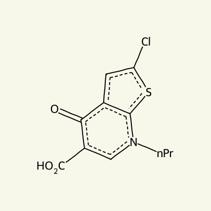 CCCn1cc(C(=O)O)c(=O)c2cc(Cl)sc21